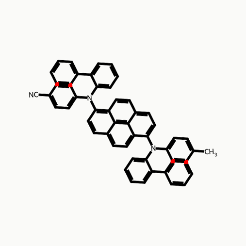 Cc1ccc(N(c2ccccc2-c2ccccc2)c2ccc3ccc4c(N(c5ccc(C#N)cc5)c5ccccc5-c5ccccc5)ccc5ccc2c3c54)cc1